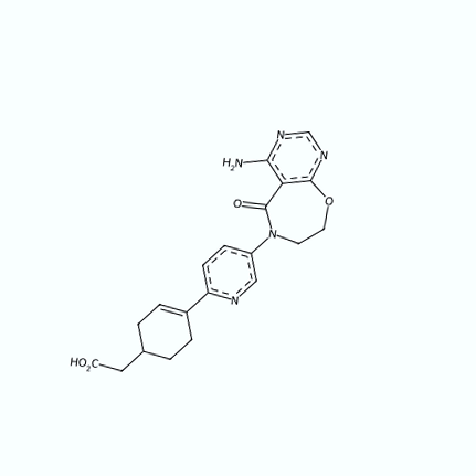 Nc1ncnc2c1C(=O)N(c1ccc(C3=CCC(CC(=O)O)CC3)nc1)CCO2